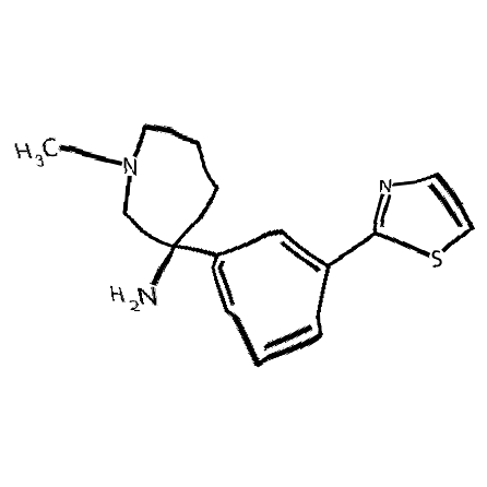 CN1CCCC(N)(c2cccc(-c3nccs3)c2)C1